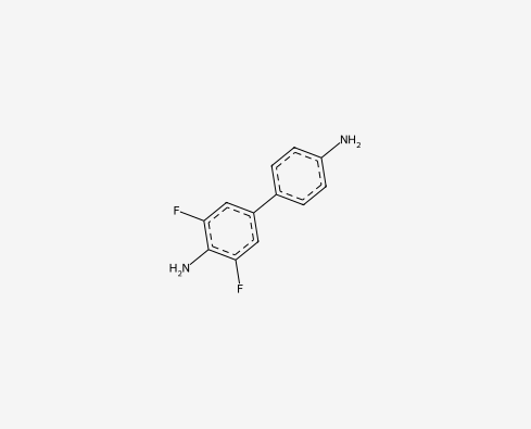 Nc1ccc(-c2cc(F)c(N)c(F)c2)cc1